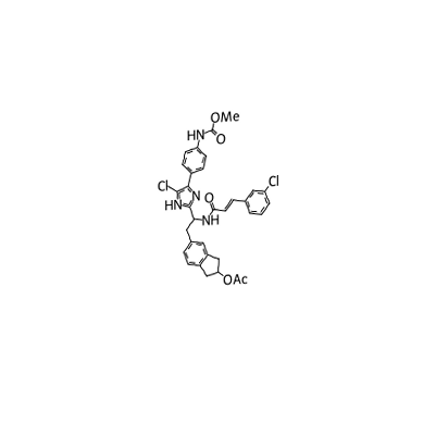 COC(=O)Nc1ccc(-c2nc(C(Cc3ccc4c(c3)CC(OC(C)=O)C4)NC(=O)C=Cc3cccc(Cl)c3)[nH]c2Cl)cc1